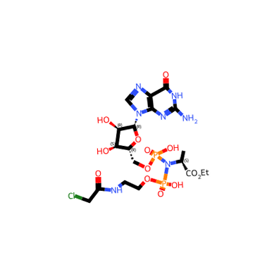 CCOC(=O)[C@H](C)N(P(=O)(O)OCCNC(=O)CCl)P(=O)(O)OC[C@H]1O[C@@H](n2cnc3c(=O)[nH]c(N)nc32)[C@H](O)[C@@H]1O